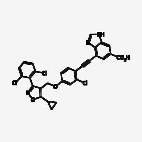 O=C(O)c1cc(C#Cc2ccc(OCc3c(-c4c(Cl)cccc4Cl)noc3C3CC3)cc2Cl)c2nc[nH]c2c1